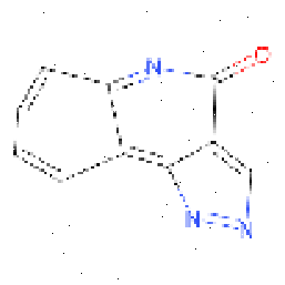 O=C1N=c2ccccc2=C2N=NC=C12